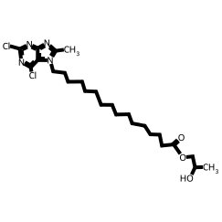 Cc1nc2nc(Cl)nc(Cl)c2n1CCCCCCCCCCCCCCCC(=O)OCC(C)O